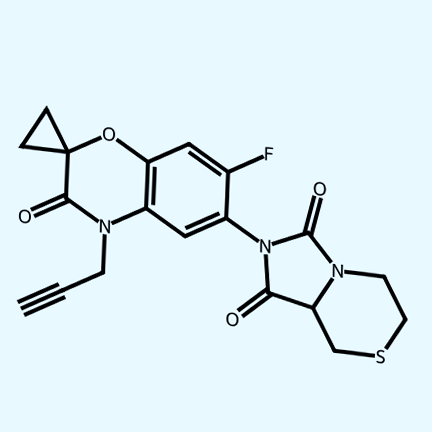 C#CCN1C(=O)C2(CC2)Oc2cc(F)c(N3C(=O)C4CSCCN4C3=O)cc21